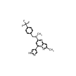 Cc1cc2nc(N(C)Cc3ccc(C(F)(F)F)cc3)cc(-c3cn[nH]c3)n2n1